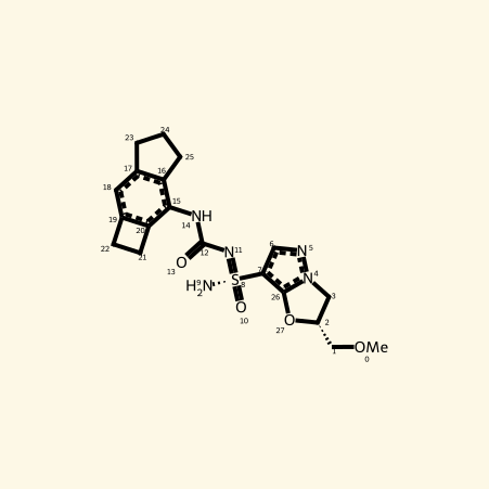 COC[C@H]1Cn2ncc([S@@](N)(=O)=NC(=O)Nc3c4c(cc5c3CC5)CCC4)c2O1